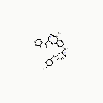 CCN1/C=C/CC(C(=O)c2ccccc2C)/C=C/c2cc(C(=O)/C(CCSc3ccc(Cl)cc3)=N/OC(C)=O)ccc21